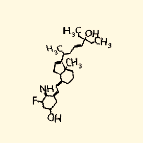 CCC(O)(/C=C/CC(C)C1=CCC2/C(=C/C=C3/CC(O)CC(F)C3=N)CCCC12C)CC